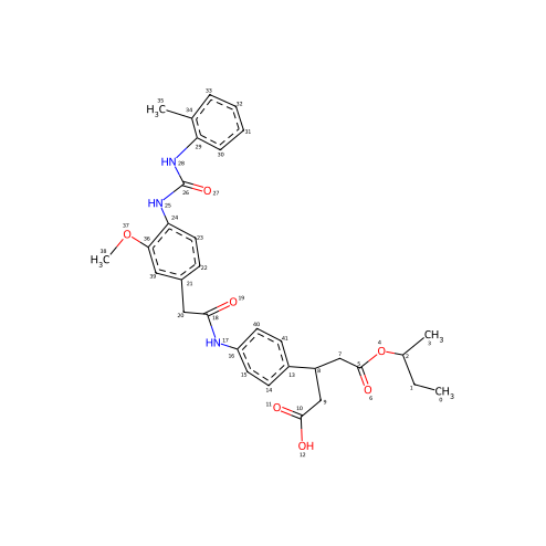 CCC(C)OC(=O)CC(CC(=O)O)c1ccc(NC(=O)Cc2ccc(NC(=O)Nc3ccccc3C)c(OC)c2)cc1